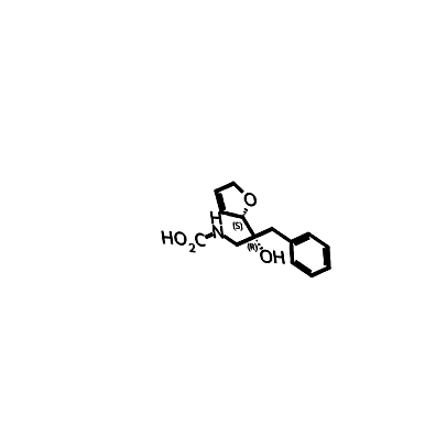 O=C(O)NC[C@](O)(Cc1ccccc1)[C@@H]1C=CCO1